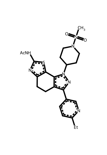 CCc1ccc(-c2nn(C3CCN(S(C)(=O)=O)CC3)c3c2CCc2nc(NC(C)=O)sc2-3)cn1